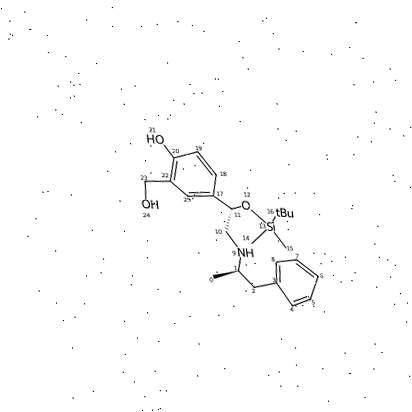 C[C@H](Cc1[c]cccc1)NC[C@@H](O[Si](C)(C)C(C)(C)C)c1ccc(O)c(CO)c1